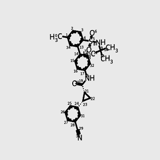 Cc1ccc(S(=O)(=O)NC(C)(C)C)c(-c2ccc(NC(=O)[C@@H]3C[C@@H]3c3cccc(C#N)c3)cc2)c1